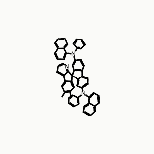 Cc1cc2c(cc1C)C1(c3cc(N(c4ccccc4)c4cccc5ccccc45)ccc3-c3ccc(N(c4ccccc4)c4cccc5ccccc45)cc31)c1ncccc1-2